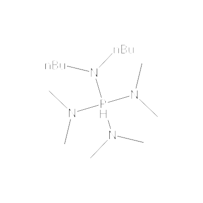 CCCCN(CCCC)[PH](N(C)C)(N(C)C)N(C)C